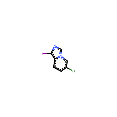 Clc1ccc2c(I)ncn2c1